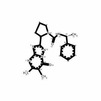 Cc1nc2sc(C3CCCN3C(=O)N[C@H](C)c3ccccc3)nn2c(=O)c1C